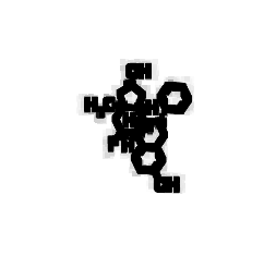 C[C@@]12C[C@H](O)C[C@H]1[C@H]1[C@@H](c3ccc(O)cc3C[C@H]1c1ccccc1)[C@H](F)C2